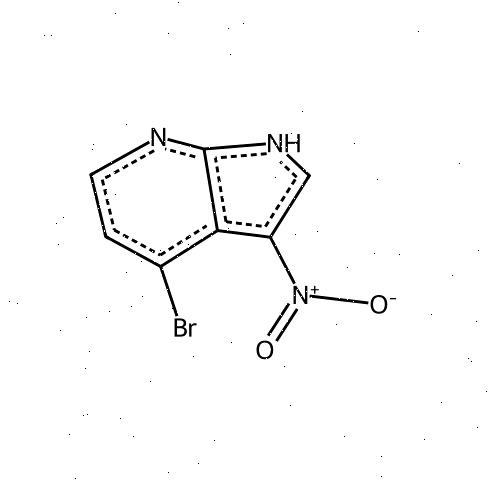 O=[N+]([O-])c1c[nH]c2nccc(Br)c12